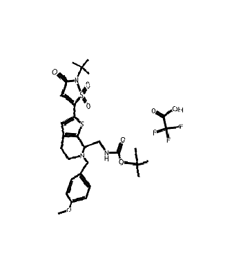 COc1ccc(CN2CCc3cc(C4=CC(=O)N(C(C)(C)C)S4(=O)=O)sc3C2CNC(=O)OC(C)(C)C)cc1.O=C(O)C(F)(F)F